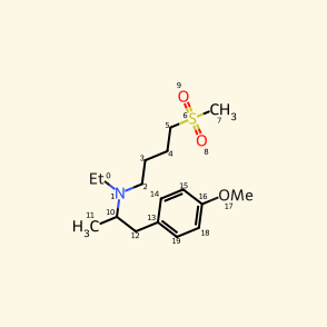 CCN(CCCCS(C)(=O)=O)C(C)Cc1ccc(OC)cc1